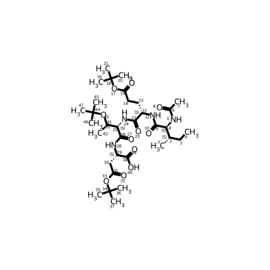 CC[C@H](C)[C@H](NC(C)=O)C(=O)N[C@@H](CCC(=O)OC(C)(C)C)C(=O)N[C@H](C(=O)N[C@@H](CC(=O)OC(C)(C)C)C(=O)O)[C@@H](C)OC(C)(C)C